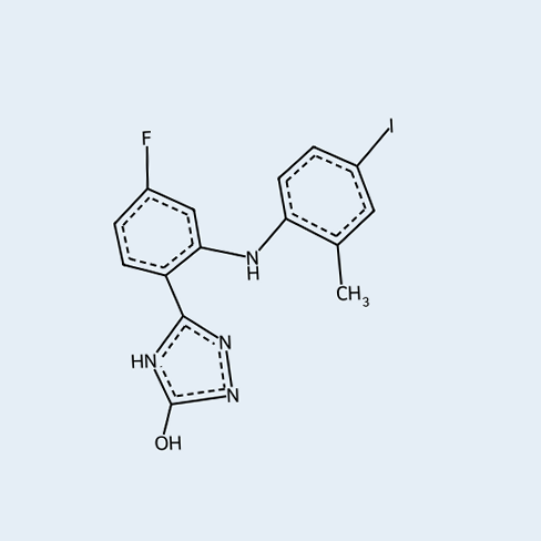 Cc1cc(I)ccc1Nc1cc(F)ccc1-c1nnc(O)[nH]1